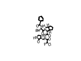 CC[C@H](C)[C@H](NC(=O)c1ccccc1)C(=O)N1C[C@@H]2CCC[C@@H]2[C@H]1C(=O)NN(C[C@@H]1CCNC1=O)C(=O)[C@H](F)Cl